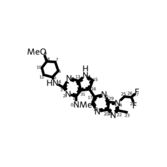 CNc1nc(NC2CCC(OC)CC2)nc2[nH]cc(-c3cnc4nc(C)n(CC(F)F)c4n3)c12